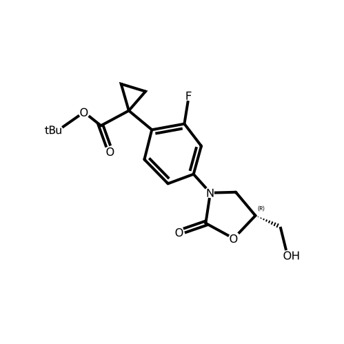 CC(C)(C)OC(=O)C1(c2ccc(N3C[C@H](CO)OC3=O)cc2F)CC1